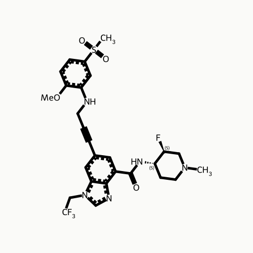 COc1ccc(S(C)(=O)=O)cc1NCC#Cc1cc(C(=O)N[C@H]2CCN(C)C[C@@H]2F)c2ncn(CC(F)(F)F)c2c1